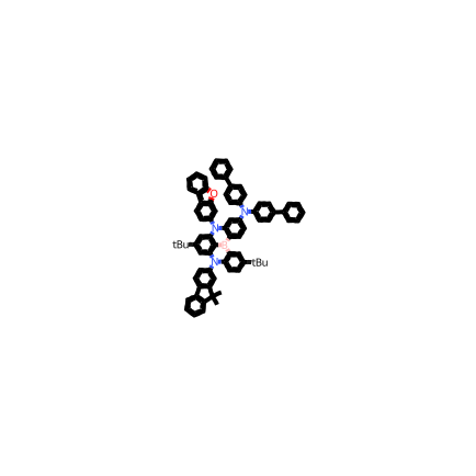 CC(C)(C)c1ccc2c(c1)B1c3ccc(N(c4ccc(-c5ccccc5)cc4)c4ccc(-c5ccccc5)cc4)cc3N(c3ccc4c(c3)oc3ccccc34)c3cc(C(C)(C)C)cc(c31)N2c1ccc2c(c1)C(C)(C)c1ccccc1-2